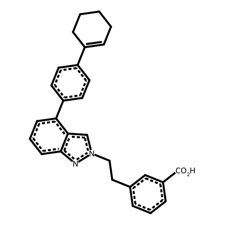 O=C(O)c1cccc(CCn2cc3c(-c4ccc(C5=CCCCC5)cc4)cccc3n2)c1